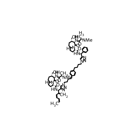 C=C(/C=C\C=C/C)[C@H](NC(=O)[C@@H]1CC[C@@H]2CC[C@H](CO)[C@H](NC(=O)[C@H](C)NC)C(=O)N21)c1cn(CCCCc2ccc(CCCCn3cc([C@@H](NC(=O)[C@@H]4CC[C@@H]5CC[C@H](CO)[C@H](NC(=O)[C@H](C)NC)C(=O)N54)c4ccccc4)nn3)cc2)nn1